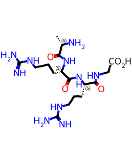 C[C@H](N)C(=O)N[C@@H](CCCNC(=N)N)C(=O)N[C@@H](CCCNC(=N)N)C(=O)NCC(=O)O